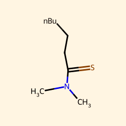 CCCCCCC(=S)N(C)C